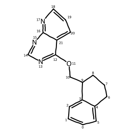 c1ccc2c(c1)CCCC2COc1ncnc2ncccc12